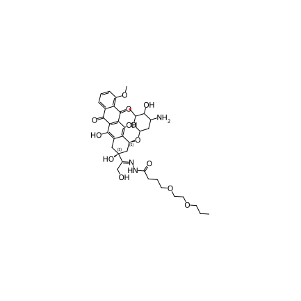 CCCOCCOCCCC(=O)NN=C(CO)[C@]1(O)Cc2c(O)c3c(c(O)c2[C@@H](OC2CC(N)C(O)C(C)O2)C1)C(=O)c1c(OC)cccc1C3=O